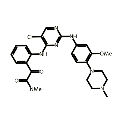 CNC(=O)C(=O)c1ccccc1Nc1nc(Nc2ccc(N3CCN(C)CC3)c(OC)c2)ncc1Cl